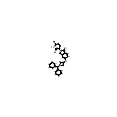 O=C1CCC(N2Cc3cc(SC4CN(C(c5ccccc5)c5ccccc5)C4)ccc3C2=O)C(=O)N1